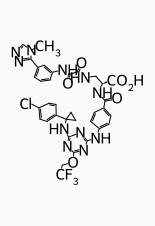 Cn1cnnc1-c1cccc(NC(=O)C(=O)NC[C@H](NC(=O)c2ccc(Nc3nc(NC4(c5ccc(Cl)cc5)CC4)nc(OCC(F)(F)F)n3)cc2)C(=O)O)c1